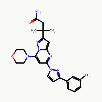 Cc1cccc(-c2ccn(-c3cc(N4CCOCC4)n4nc(C(C)(C)CC(N)=O)cc4n3)n2)c1